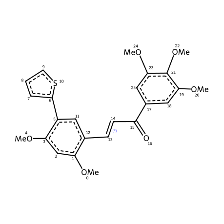 COc1cc(OC)c(-c2cccs2)cc1/C=C/C(=O)c1cc(OC)c(OC)c(OC)c1